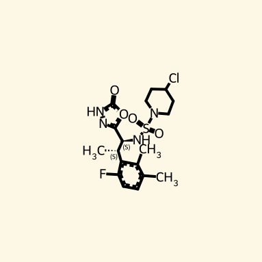 Cc1ccc(F)c([C@H](C)[C@H](NS(=O)(=O)N2CCC(Cl)CC2)c2n[nH]c(=O)o2)c1C